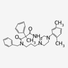 Cc1ccc(C)c(N2CCN(CCCN(Cc3ccccc3)C(=O)C(C)(C(N)=O)c3ccccc3)CC2)c1